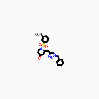 O=C1CCN(S(=O)(=O)c2cccc([N+](=O)[O-])c2)C(=Cc2cn(Cc3ccccc3)nn2)C1